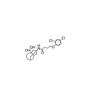 O=C(CCCOc1ccc(Cl)cc1Cl)NC12CC3CCCC(C(=O)O)(C1)C(C3)C2